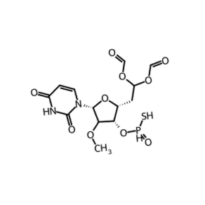 COC1[C@@H](O[PH](=O)S)[C@@H](CC(OC=O)OC=O)O[C@H]1n1ccc(=O)[nH]c1=O